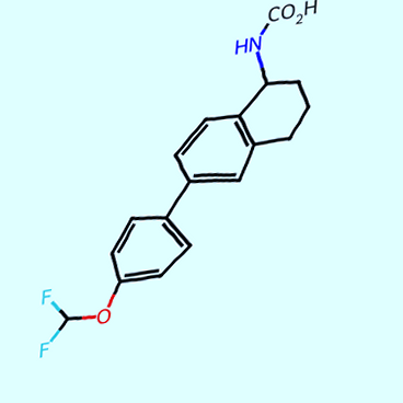 O=C(O)NC1CCCc2cc(-c3ccc(OC(F)F)cc3)ccc21